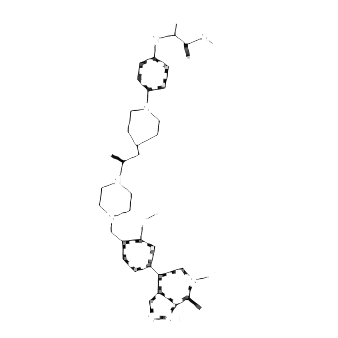 CCCC(Nc1ccc(N2CCC(CC(=O)N3CCN(Cc4ccc(-c5cn(C)c(=O)c6[nH]ncc56)cc4OC(F)(F)F)CC3)CC2)cc1)C(=O)NC=O